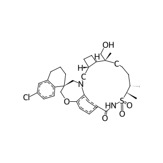 C[C@@H]1[C@@H](C)CCC[C@@](C)(CO)[C@@H]2CC[C@H]2CN2C[C@@]3(CCCc4cc(Cl)ccc43)COc3ccc(cc32)C(=O)NS1(=O)=O